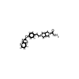 NC(=O)N1CC2CN(CCc3ccc(Oc4nc5ncccc5s4)cc3)CC2C1